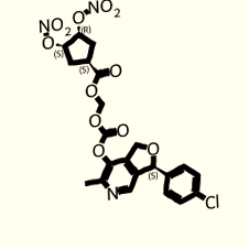 Cc1ncc2c(c1OC(=O)OCOC(=O)[C@H]1C[C@H](O[N+](=O)[O-])[C@H](O[N+](=O)[O-])C1)CO[C@H]2c1ccc(Cl)cc1